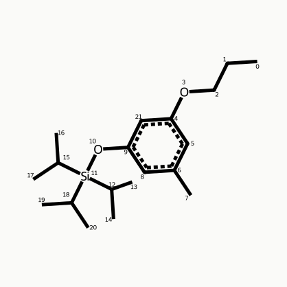 CCCOc1cc(C)cc(O[Si](C(C)C)(C(C)C)C(C)C)c1